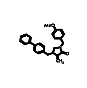 C=C1C(=O)N(Cc2ccc(OC)cc2)CC1Cc1ccc(-c2ccccc2)cc1